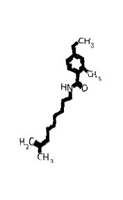 C=C(C)CCCCCCCNC(=O)c1ccc(CC)cc1C